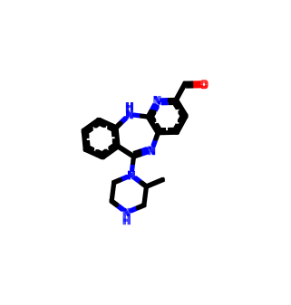 CC1CNCCN1C1=Nc2ccc(C=O)nc2Nc2ccccc21